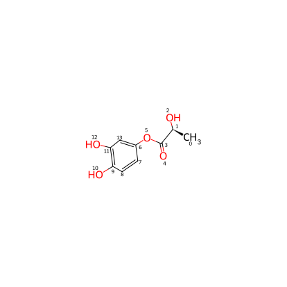 C[C@H](O)C(=O)Oc1ccc(O)c(O)c1